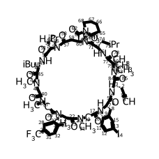 C#CC[C@@H]1NC(=O)[C@H](Cc2cccc(I)c2)NC(=O)CN(C)C(=O)[C@H](Cc2ccc(C(F)(F)F)cc2)N(C)C(=O)CN(C)C(=O)CN(C)C(=O)[C@H]([C@@H](C)CC)NC(=O)[C@H](CC(C)C)N(C)C(=O)C[C@@H](C(=O)N2CCCCC2)N(C)C(=O)[C@H](CC(C)C)NC(=O)C(C)(C)N(C)C1=O